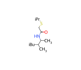 CCC(C)C(C)C(C)NC(=O)CSC(C)C